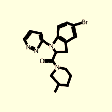 CC1CCCN(C(=O)C2Cc3cc(Br)ccc3N2c2cccnn2)C1